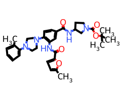 Cc1ccc(C(=O)Nc2cc(C(=O)NC3CCN(C(=O)OC(C)(C)C)C3)ccc2N2CCN(c3ccccc3C)CC2)o1